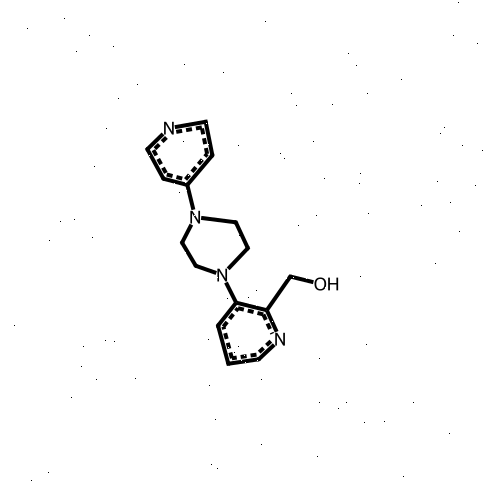 OCc1ncccc1N1CCN(c2ccncc2)CC1